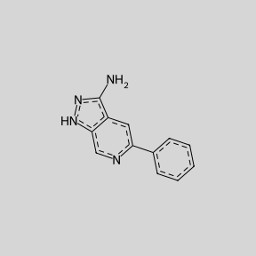 Nc1n[nH]c2cnc(-c3ccccc3)cc12